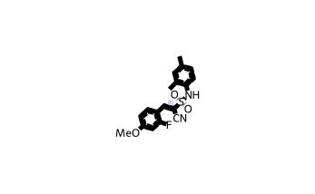 COc1ccc(/C=C(\C#N)S(=O)(=O)Nc2ccc(C)cc2C)c(F)c1